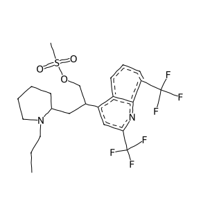 CCCN1CCCCC1CC(COS(C)(=O)=O)c1cc(C(F)(F)F)nc2c(C(F)(F)F)cccc12